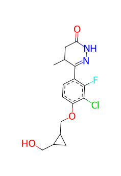 CC1CC(=O)NN=C1c1ccc(OCC2CC2CO)c(Cl)c1F